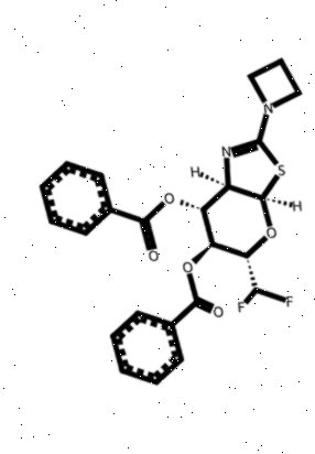 O=C(O[C@@H]1[C@H]2N=C(N3CCC3)S[C@H]2O[C@H](C(F)F)[C@H]1OC(=O)c1ccccc1)c1ccccc1